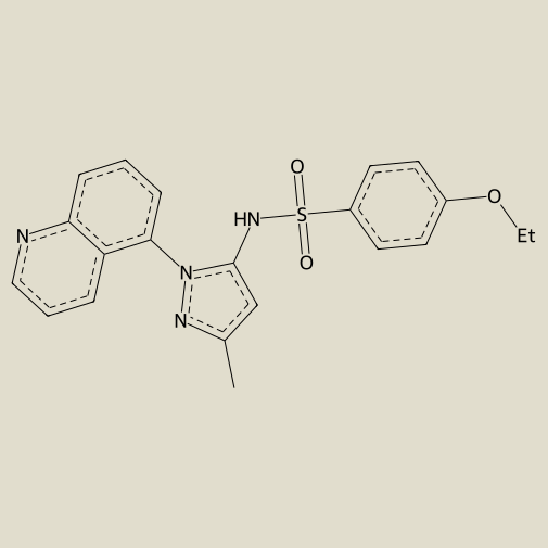 CCOc1ccc(S(=O)(=O)Nc2cc(C)nn2-c2cccc3ncccc23)cc1